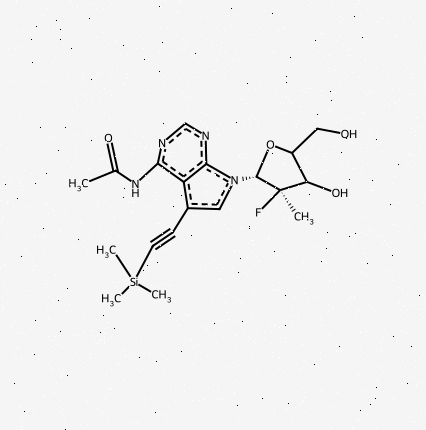 CC(=O)Nc1ncnc2c1c(C#C[Si](C)(C)C)cn2[C@@H]1OC(CO)C(O)[C@@]1(C)F